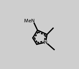 CNc1ccn(C)c1C